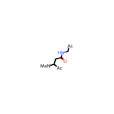 CNC(CC(=O)NCC(C)=O)C(C)=O